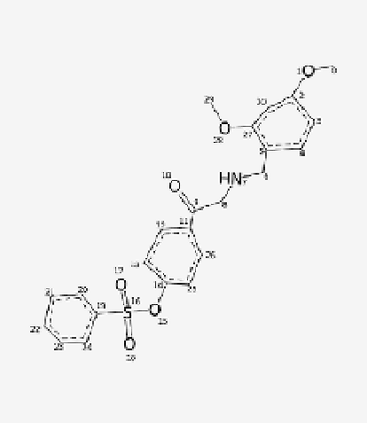 COc1ccc(CNCC(=O)c2ccc(OS(=O)(=O)c3ccccc3)cc2)c(OC)c1